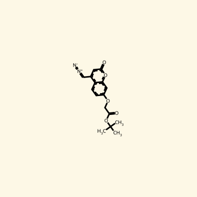 CC(C)(C)OC(=O)COc1ccc2c(C=[N+]=[N-])cc(=O)oc2c1